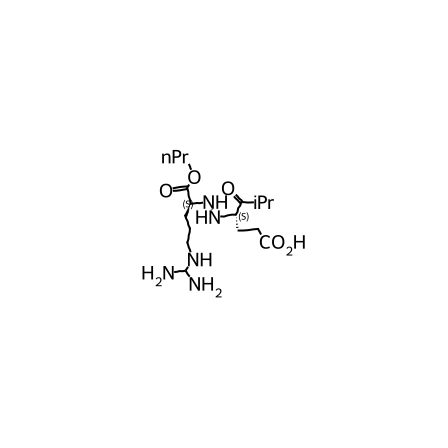 CCCOC(=O)[C@H](CCCNC(N)N)NN[C@@H](CCC(=O)O)C(=O)C(C)C